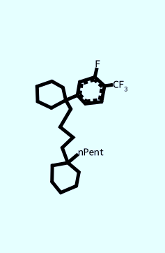 CCCCCC1(CCCCC2(c3ccc(C(F)(F)F)c(F)c3)CCCCC2)CCCCC1